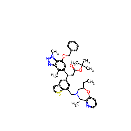 CC[C@@H]1CN(Cc2cc([C@H](CC(=O)OC(C)(C)C)c3cc(OCc4ccccc4)c4c(nnn4C)c3C)cc3ccsc23)[C@@H](C)c2ncccc2O1